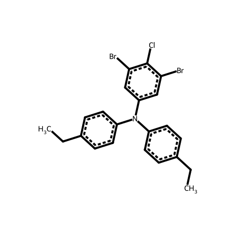 CCc1ccc(N(c2ccc(CC)cc2)c2cc(Br)c(Cl)c(Br)c2)cc1